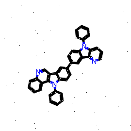 c1ccc(-n2c3ccc(-c4ccc5c(c4)c4cnc6ccccc6c4n5-c4ccccc4)cc3c3ncccc32)cc1